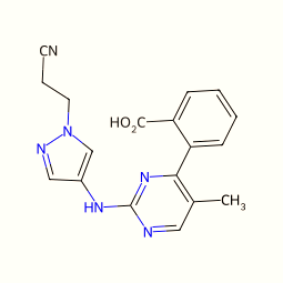 Cc1cnc(Nc2cnn(CCC#N)c2)nc1-c1ccccc1C(=O)O